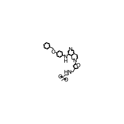 CS(=O)(=O)CCNCc1coc(N2C=Cc3cncc(Nc4ccc(OCc5ccccc5)cc4)c3C2)c1